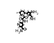 C[C@@H]1CC[C@@H](c2cc(N)c(C=N)s2)N(C(=O)C(=O)Nc2cncc(C(N)=O)c2)C1